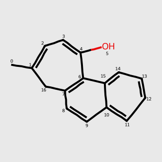 CC1=CC=C(O)c2c(ccc3ccccc23)C1